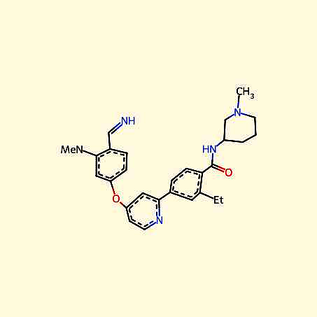 CCc1cc(-c2cc(Oc3ccc(C=N)c(NC)c3)ccn2)ccc1C(=O)NC1CCCN(C)C1